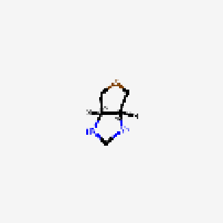 C1N[C@H]2CSC[C@H]2N1